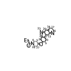 CCC(=O)N1CCC(Oc2ccc(-c3cc4ncccc4cc3N(C)C)cc2)CC1